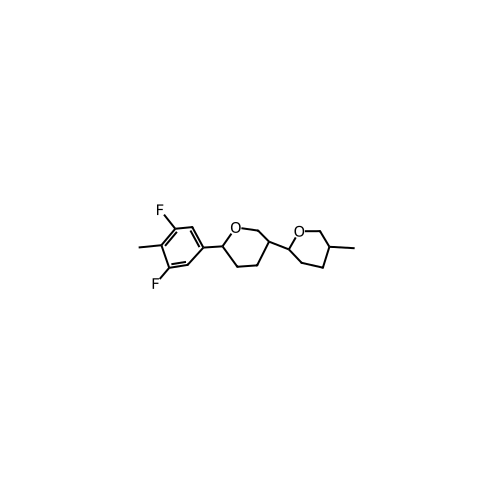 Cc1c(F)cc(C2CCC(C3CCC(C)CO3)CO2)cc1F